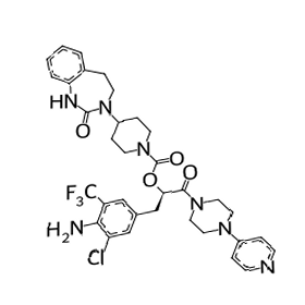 Nc1c(Cl)cc(C[C@@H](OC(=O)N2CCC(N3CCc4ccccc4NC3=O)CC2)C(=O)N2CCN(c3ccncc3)CC2)cc1C(F)(F)F